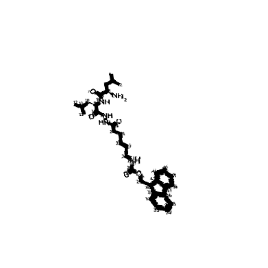 CC(C)C[C@@H](N)C(=O)N[C@@H](CC(C)C)C(=O)NNC(=O)CCCCCNC(=O)OCC1c2ccccc2-c2ccccc21